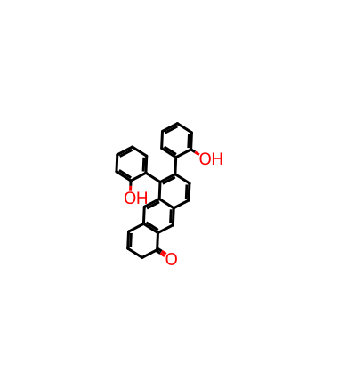 O=C1CC=Cc2cc3c(-c4ccccc4O)c(-c4ccccc4O)ccc3cc21